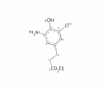 CCOC(=O)CCc1cc(N)c(O)c(Cl)c1